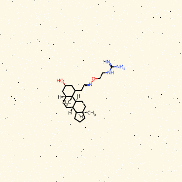 C[C@@]12CCC[C@H]1[C@@H]1CC[C@@H]3C[C@@H](O)CC(C/C=N/OCCNC(=N)N)[C@]3(C)[C@H]1CC2